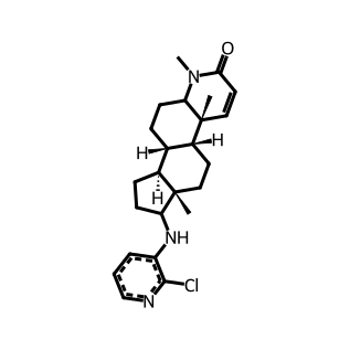 CN1C(=O)C=C[C@@]2(C)C1CC[C@@H]1[C@H]2CC[C@]2(C)C(Nc3cccnc3Cl)CC[C@@H]12